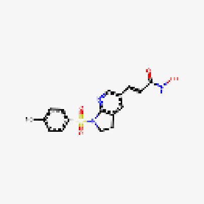 N#Cc1ccc(S(=O)(=O)N2CCc3cc(C=CC(=O)NO)cnc32)cc1